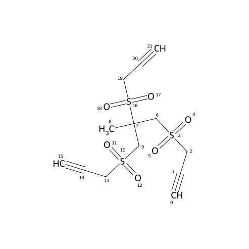 C#CCS(=O)(=O)CC(C)(CS(=O)(=O)CC#C)S(=O)(=O)CC#C